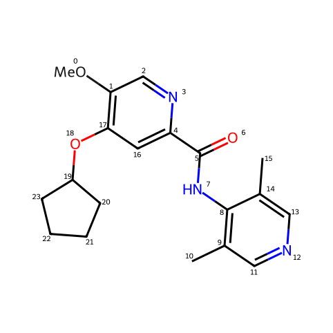 COc1cnc(C(=O)Nc2c(C)cncc2C)cc1OC1CCCC1